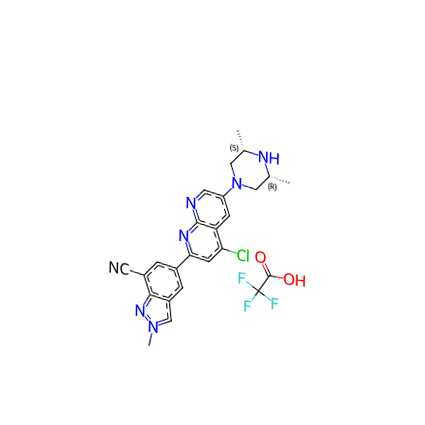 C[C@@H]1CN(c2cnc3nc(-c4cc(C#N)c5nn(C)cc5c4)cc(Cl)c3c2)C[C@H](C)N1.O=C(O)C(F)(F)F